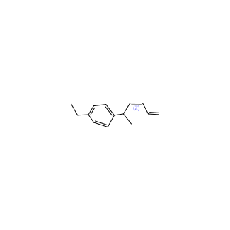 C=C/C=C\C(C)c1ccc(CC)cc1